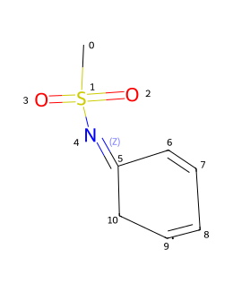 CS(=O)(=O)/N=C1\C=CC=[C]C1